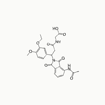 CCOc1cc(C(CC(=O)NCC(=O)O)N2C(=O)c3cccc(NC(C)=O)c3C2=O)ccc1OC